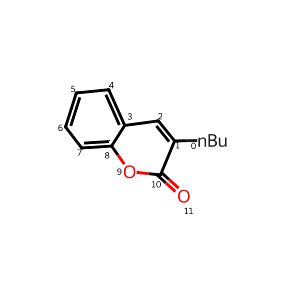 CCCCc1cc2ccccc2oc1=O